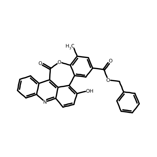 Cc1cc(C(=O)OCc2ccccc2)cc2c1OC(=O)c1c3ccccc3nc3ccc(O)c-2c13